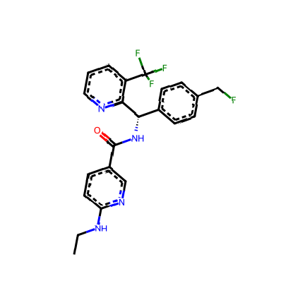 CCNc1ccc(C(=O)N[C@@H](c2ccc(CF)cc2)c2ncccc2C(F)(F)F)cn1